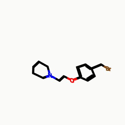 BrCc1ccc(OCCN2CCCCC2)cc1